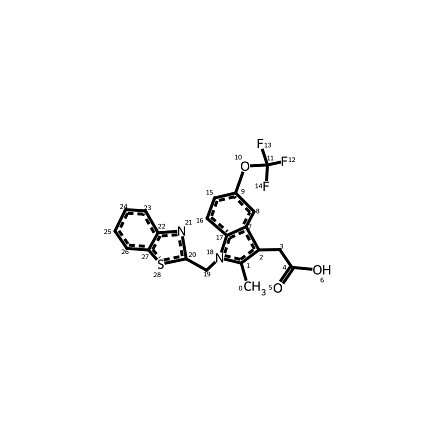 Cc1c(CC(=O)O)c2cc(OC(F)(F)F)ccc2n1Cc1nc2ccccc2s1